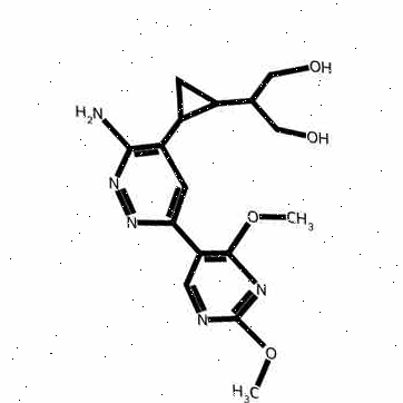 COc1ncc(-c2cc(C3CC3C(CO)CO)c(N)nn2)c(OC)n1